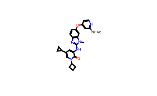 CC(=O)Nc1cc(Oc2ccc3nc(Nc4cc(C5CC5)cn(C5CCC5)c4=O)n(C)c3c2)ccn1